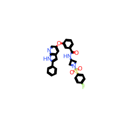 O=C(NC1CN(S(=O)(=O)c2ccc(F)cc2)C1)c1cccc(Oc2cnc3[nH]c(-c4ccccc4)cc3c2)c1